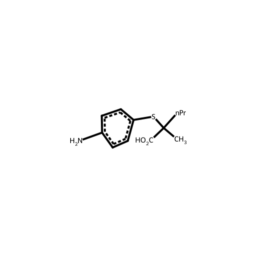 CCCC(C)(Sc1ccc(N)cc1)C(=O)O